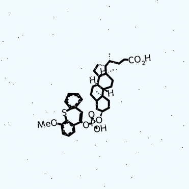 COc1cccc2c1Sc1ccccc1C=C2OP(=O)(O)O[C@@H]1CC[C@@]2(C)C(CC[C@H]3[C@@H]4CC[C@H]([C@H](C)CCC(=O)O)[C@@]4(C)CC[C@@H]32)C1